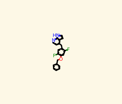 Fc1cc(OCc2ccccc2)c(F)cc1Cc1ccnc2[nH]ccc12